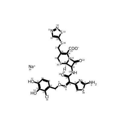 Nc1nc(/C(=N/OCc2ccc(O)c(O)c2Cl)C(=O)NC2C(=O)N3C(C(=O)[O-])=C(CSc4cnns4)CS[C@H]23)cs1.[Na+]